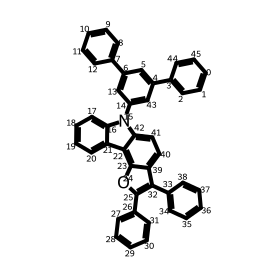 c1ccc(-c2cc(-c3ccccc3)cc(-n3c4ccccc4c4c5oc(-c6ccccc6)c(-c6ccccc6)c5ccc43)c2)cc1